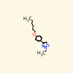 CCCCCCOc1ccc(-c2cnn(CC)n2)cc1